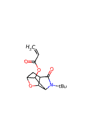 C=CC(=O)OC1C2CC3C(=O)N(C(C)(C)C)C1C3O2